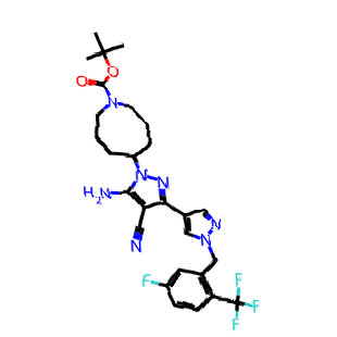 CC(C)(C)OC(=O)N1CCCC(n2nc(-c3cnn(Cc4cc(F)ccc4C(F)(F)F)c3)c(C#N)c2N)CCC1